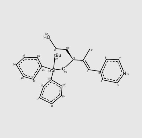 C/C(=C\c1ccncc1)[C@H](CCO)O[Si](c1ccccc1)(c1ccccc1)C(C)(C)C